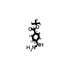 CC(C)(C)OC(=O)c1ccc(NN)cc1